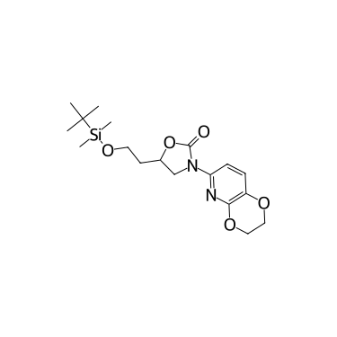 CC(C)(C)[Si](C)(C)OCCC1CN(c2ccc3c(n2)OCCO3)C(=O)O1